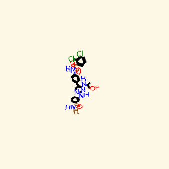 CC(CO)Nc1nc(Nc2cccc([SH](=N)=O)c2)ncc1-c1ccc(NS(=O)(=O)c2cccc(Cl)c2Cl)cc1